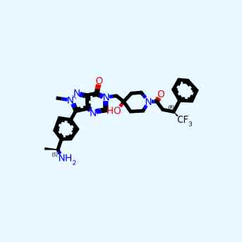 C[C@H](N)c1ccc(-c2c3ncn(CC4(O)CCN(C(=O)C[C@H](c5ccccc5)C(F)(F)F)CC4)c(=O)c3nn2C)cc1